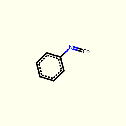 [Co]=[N]c1ccccc1